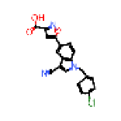 N#Cc1cn(Cc2ccc(Cl)cc2)c2ccc(-c3cc(C(=O)O)no3)cc12